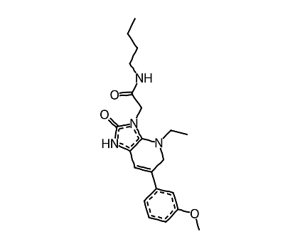 CCCCNC(=O)Cn1c2c([nH]c1=O)C=C(c1cccc(OC)c1)CN2CC